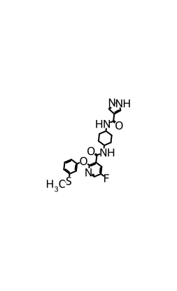 CSc1cccc(Oc2ncc(F)cc2C(=O)NC2CCC(NC(=O)c3cn[nH]c3)CC2)c1